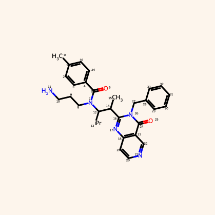 Cc1ccc(C(=O)N(CCCN)C(C(C)C)C(C)c2nc3ccncc3c(=O)n2Cc2ccccc2)cc1